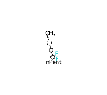 CC#CC1CCC(c2ccc(-c3ccc(CCCCC)c(F)c3F)cc2)CC1